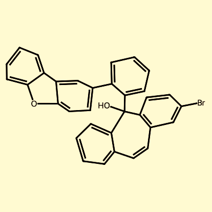 OC1(c2ccccc2-c2ccc3oc4ccccc4c3c2)c2ccccc2C=Cc2cc(Br)ccc21